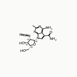 Cc1nc(N)c2c(C(N)=O)cn([C@@H]3O[C@H](CO)[C@@H](O)[C@@H]3N=[N+]=[N-])c2n1